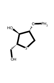 OC[C@H]1SC[C@@H](OP)[C@@H]1O